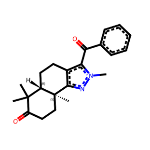 Cn1nc2c(c1C(=O)c1ccccc1)CC[C@H]1C(C)(C)C(=O)CC[C@]21C